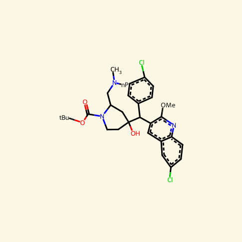 CCCN(C)CC1CC(O)(C(c2ccc(Cl)cc2)c2cc3cc(Cl)ccc3nc2OC)CCN1C(=O)OC(C)(C)C